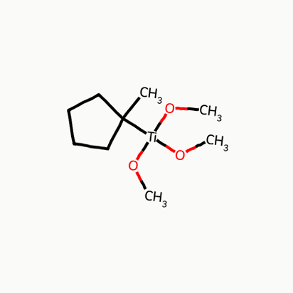 C[O][Ti]([O]C)([O]C)[C]1(C)CCCC1